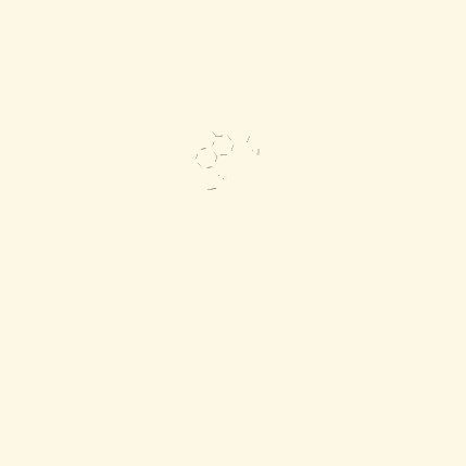 CCCCCCCCCCCCCCCC(=O)Nc1cccc2c(=O)cc(C(N)=S)oc12